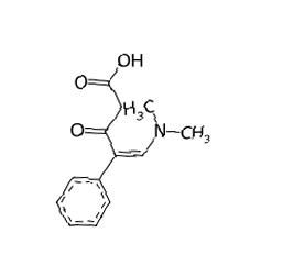 CN(C)C=C(C(=O)CC(=O)O)c1ccccc1